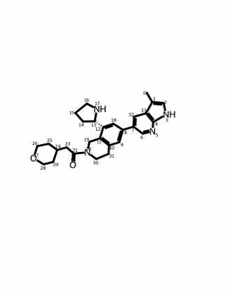 Cc1c[nH]c2ncc(-c3cc4c(c([C@@H]5CCCN5)c3)CN(C(=O)CC3CCOCC3)CC4)cc12